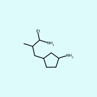 CCC(N)C(C)CC1CCC(N)C1